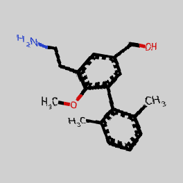 COc1c(CCN)cc(CO)cc1-c1c(C)cccc1C